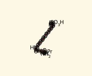 CCCN(OCC)C(=O)C1=Cc2ccc(-c3ccc(C(=O)N4CCC(NC(=O)CCOCCOCCOCCOCCOCCOCCOCCOCCOCCOCCC(=O)Oc5c(F)c(F)c(S(=O)(=O)O)c(F)c5F)C4)cc3)cc2N=C(N)C1